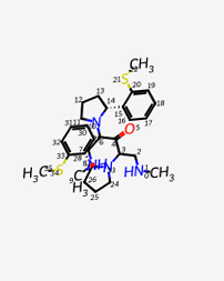 CNCC(C(=O)C(CNC)N1CCC[C@@H]1c1ccccc1SC)N1CCC[C@@H]1c1ccccc1SC